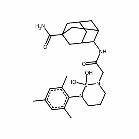 Cc1cc(C)c(N2CCCN(CC(=O)NC3C4CC5CC3CC(C(N)=O)(C5)C4)S2(O)O)c(C)c1